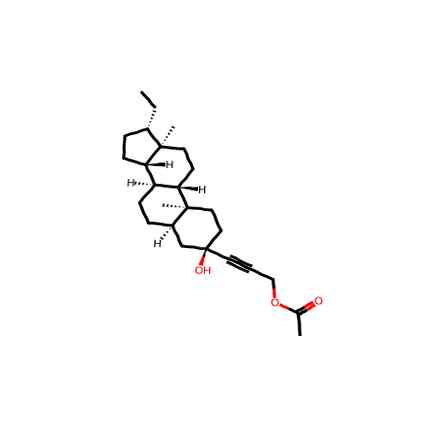 CC[C@H]1CC[C@H]2[C@@H]3CC[C@@H]4C[C@@](O)(C#CCOC(C)=O)CC[C@]4(C)[C@H]3CC[C@]12C